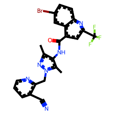 Cc1nn(Cc2ncccc2C#N)c(C)c1NC(=O)c1cc(C(F)(F)F)nc2ccc(Br)cc12